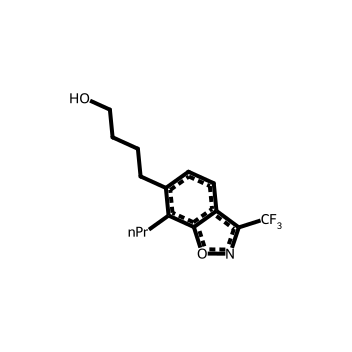 CCCc1c(CCCCO)ccc2c(C(F)(F)F)noc12